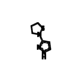 c1cc(N2CCCS2)n[nH]1